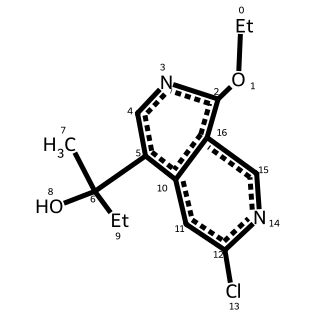 CCOc1ncc(C(C)(O)CC)c2cc(Cl)ncc12